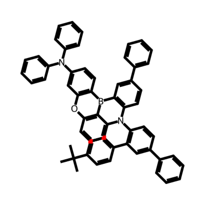 CC(C)(C)c1ccc(-c2cc(-c3ccccc3)ccc2N2c3ccc(-c4ccccc4)cc3B3c4ccc(N(c5ccccc5)c5ccccc5)cc4Oc4cccc2c43)cc1